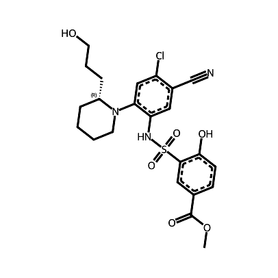 COC(=O)c1ccc(O)c(S(=O)(=O)Nc2cc(C#N)c(Cl)cc2N2CCCC[C@@H]2CCCO)c1